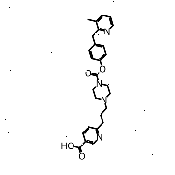 Cc1cccnc1Cc1ccc(OC(=O)N2CCN(CCCc3ccc(C(=O)O)cn3)CC2)cc1